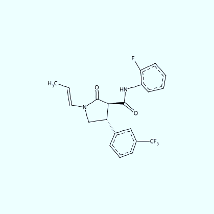 C/C=C/N1C[C@@H](c2cccc(C(F)(F)F)c2)[C@H](C(=O)Nc2ccccc2F)C1=O